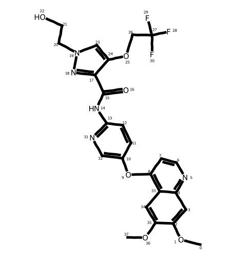 COc1cc2nccc(Oc3ccc(NC(=O)c4nn(CCO)cc4OCC(F)(F)F)nc3)c2cc1OC